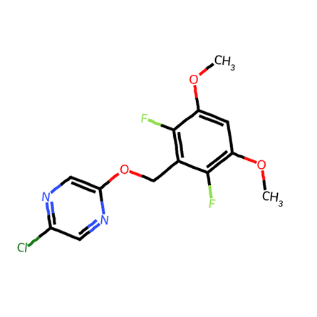 COc1cc(OC)c(F)c(COc2cnc(Cl)cn2)c1F